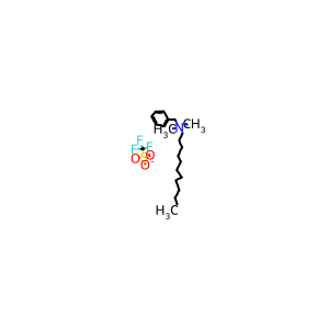 CCCCCCCCCCCC[N+](C)(C)Cc1ccccc1.O=S(=O)([O-])C(F)(F)F